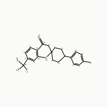 Cc1ccc(C2CCC3(CC2)CC(=O)c2ccc(C(F)(F)F)cc2O3)cc1